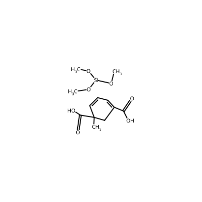 CC1(C(=O)O)C=CC=C(C(=O)O)C1.CO[Si](OC)OC